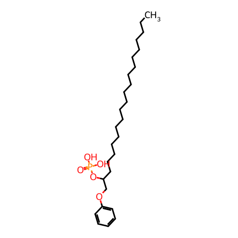 CCCCCCCCCCCCCCCCCCCC(COc1ccccc1)OP(=O)(O)O